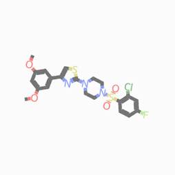 COc1cc(OC)cc(-c2csc(N3CCN(S(=O)(=O)c4ccc(F)cc4Cl)CC3)n2)c1